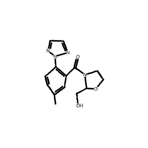 Cc1ccc(-n2nccn2)c(C(=O)N2CCOC2CO)c1